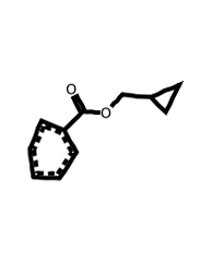 O=C(OCC1CC1)c1ccccc1